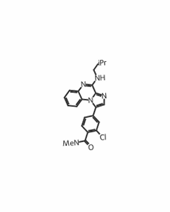 CNC(=O)c1ccc(-c2cnc3c(NCC(C)C)nc4ccccc4n23)cc1Cl